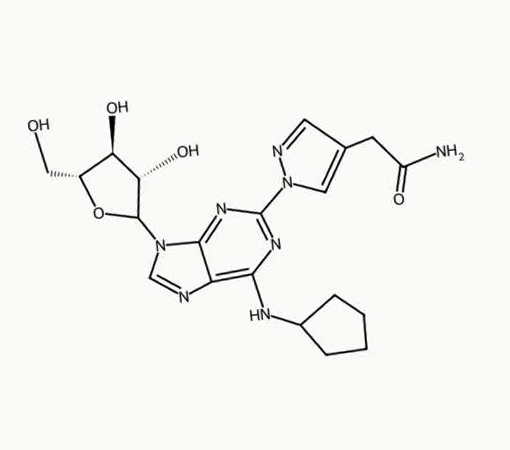 NC(=O)Cc1cnn(-c2nc(NC3CCCC3)c3ncn(C4O[C@H](CO)[C@@H](O)[C@@H]4O)c3n2)c1